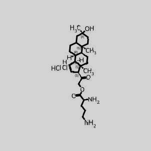 C[C@@]1(O)CC[C@@]2(C)C(CC[C@@H]3C2CC[C@]2(C)[C@@H](C(=O)COC(=O)C(N)CCCN)CC[C@@H]32)C1.Cl.Cl